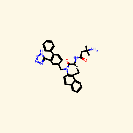 CC(C)(N)CC(=O)NC1CCc2c(ccc3ccccc23)N(Cc2ccc(-c3ccccc3)c(-c3nnn[nH]3)c2)C1=O